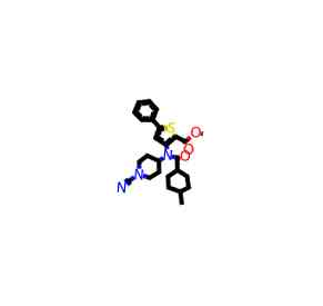 COC(=O)c1sc(-c2ccccc2)cc1N(C(=O)C1CCC(C)CC1)C1CCN(C#N)CC1